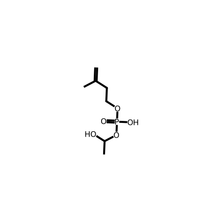 C=C(C)CCOP(=O)(O)OC(C)O